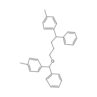 Cc1ccc(C(CCCOC(c2ccccc2)c2ccc(C)cc2)c2ccccc2)cc1